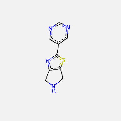 c1ncc(-c2nc3c(s2)CNC3)cn1